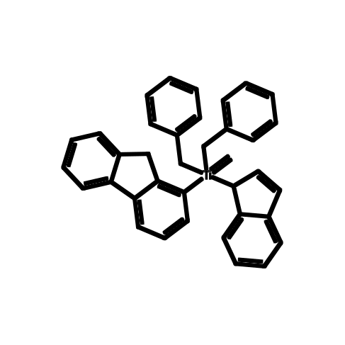 [CH2]=[Ti]([CH2]c1ccccc1)([CH2]c1ccccc1)([c]1cccc2c1Cc1ccccc1-2)[CH]1C=Cc2ccccc21